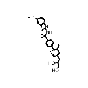 Cc1ccc2nc(NC(=O)c3ccc(-c4ncc(CC(O)CO)cc4F)cc3)sc2c1